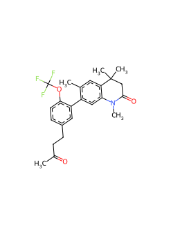 CC(=O)CCc1ccc(OC(F)(F)F)c(-c2cc3c(cc2C)C(C)(C)CC(=O)N3C)c1